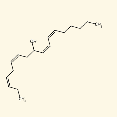 CC/C=C\C/C=C\CC(O)/C=C\C=C/CCCCC